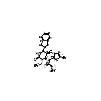 CC(C)C[C@@H]1C(=O)NC(C2Cc3ccccc3C2)C(=O)N1[C@@H](C(=O)NC(C)C)c1ccc(Br)s1